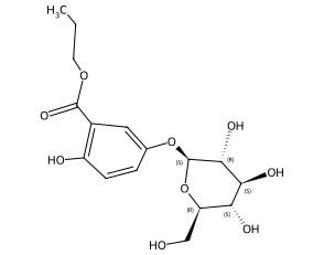 CCCOC(=O)c1cc(O[C@@H]2O[C@H](CO)[C@@H](O)[C@H](O)[C@H]2O)ccc1O